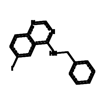 Ic1ccc2ncnc(NCc3ccccc3)c2c1